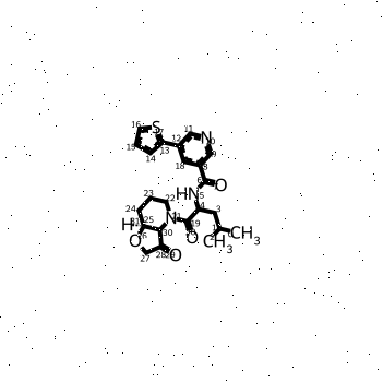 CC(C)CC(NC(=O)c1cncc(-c2cccs2)c1)C(=O)N1CCC[C@@H]2OCC(=O)C21